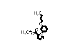 C=CCCOc1cccc(-n2nccc2C(=O)OCC)c1